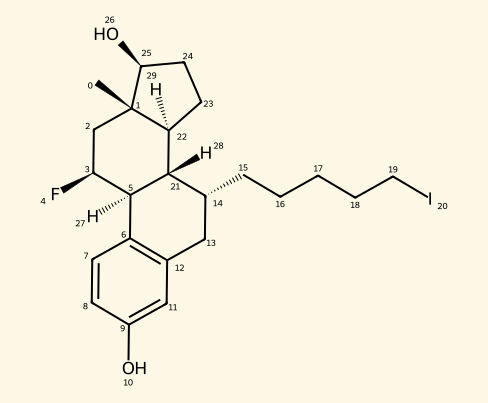 C[C@]12C[C@H](F)[C@@H]3c4ccc(O)cc4C[C@@H](CCCCCI)[C@H]3[C@@H]1CC[C@@H]2O